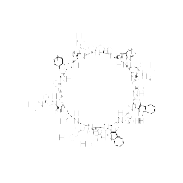 CCCC[C@H]1C(=O)N(C)[C@@H](CCCC)C(=O)N[C@@H](C)C(=O)N[C@H](C(=O)NCC(N)=O)CSCC(=O)N[C@@H](Cc2ccccc2)C(=O)N[C@@H](C)C(=O)N[C@@H](CC(N)=O)C(=O)N2CCC[C@H]2C(=O)N[C@@H](Cc2cnc[nH]2)C(=O)N[C@@H](CC(C)C)C(=O)N(C)CC(=O)N[C@@H](Cc2c[nH]c3ccccc23)C(=O)N[C@@H](CO)C(=O)N[C@@H](Cc2c[nH]c3ccccc23)C(=O)N1C